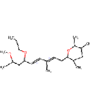 CCCOC(/C=C/C(C)=C/CC1OC(C)C(C)CC1C)CC(C)OC